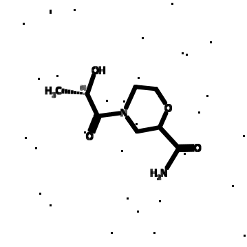 C[C@H](O)C(=O)N1CCOC(C(N)=O)C1